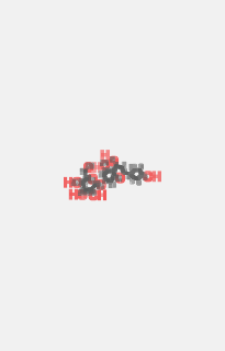 O=c1cc(-c2ccc(O)cc2)oc2cc(O[C@@H]3O[C@H](CO)[C@@H](O)[C@H](O)[C@H]3O)cc(O)c12